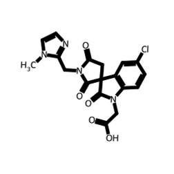 Cn1ccnc1CN1C(=O)CC2(C1=O)C(=O)N(CC(=O)O)c1ccc(Cl)cc12